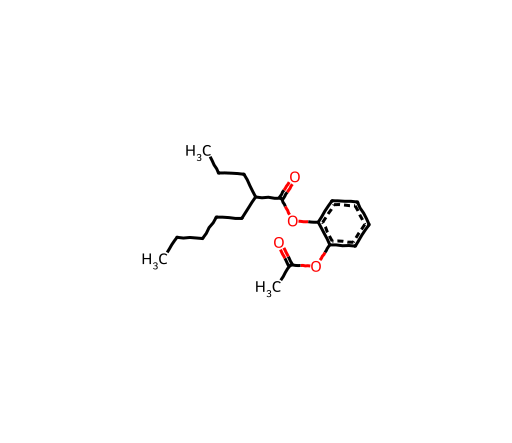 CCCCCC(CCC)C(=O)Oc1ccccc1OC(C)=O